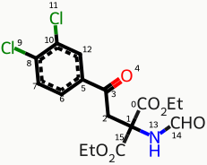 CCOC(=O)C(CC(=O)c1ccc(Cl)c(Cl)c1)(NC=O)C(=O)OCC